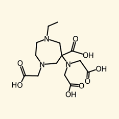 CCN1CCN(CC(=O)O)CC(C(=O)O)(N(CC(=O)O)CC(=O)O)C1